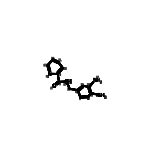 Nc1ccc(CNC(=O)c2ccccn2)cc1N